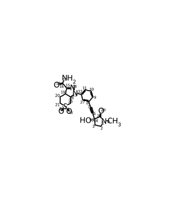 CN1CC[C@@](O)(C#Cc2cccc(N3N=C(C(N)=O)C4CCS(=O)(=O)CC43)c2)C1=O